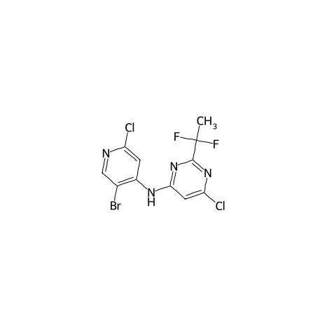 CC(F)(F)c1nc(Cl)cc(Nc2cc(Cl)ncc2Br)n1